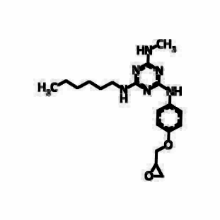 CCCCCCNc1nc(NC)nc(Nc2ccc(OCC3CO3)cc2)n1